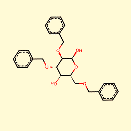 O[C@@H]1[C@H](OCc2ccccc2)[C@@H](OCc2ccccc2)[C@@H](O)O[C@@H]1COCc1ccccc1